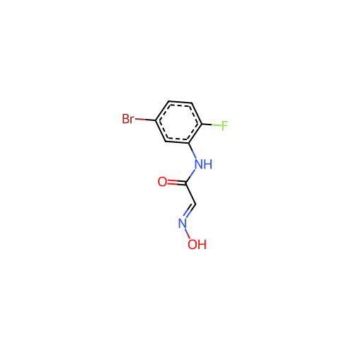 O=C(C=NO)Nc1cc(Br)ccc1F